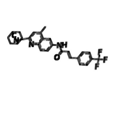 Cc1cc(N2CC3CCC2CC3)nc2ccc(NC(=O)C=Cc3ccc(C(F)(F)F)cc3)cc12